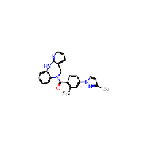 CC(C)(C)c1ccn(-c2ccc(C(=O)N3Cc4cccnc4Nc4ccccc43)c(C(F)(F)F)c2)n1